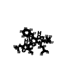 CSC(C)(C)[C@H](NC(=O)CN(C)C)C(=O)N[C@@H](Cc1ccccc1)[C@H](O)CN(CCC(C)C)C(=O)NC(C)(C)C